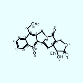 CC[C@@]1(O)C(=O)OCc2c1cc1n(c2=O)Cc2c(COC(C)=O)c3ccccc3[n+]([O-])c2-1